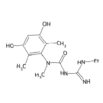 CCNC(=N)NC(=O)N(C)c1c(C)c(O)cc(O)c1C